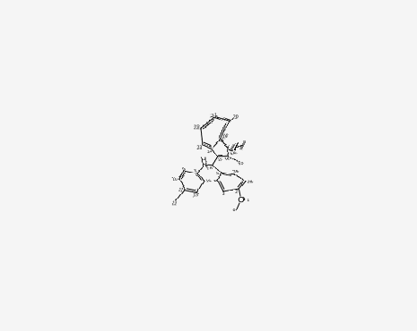 COc1ccc(C(Nc2ccc(C)cc2)c2c(C)[nH]c3ccccc23)cc1